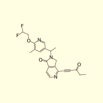 CCC(=O)C#Cc1nccc2c1CN(C(C)c1cnc(OCC(F)F)c(C)c1)C2=O